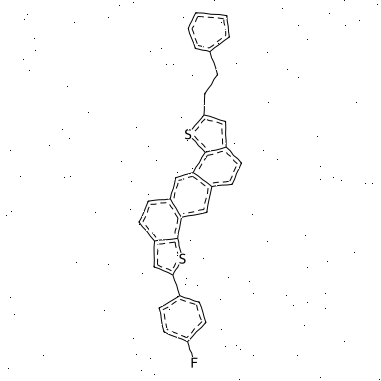 Fc1ccc(-c2cc3ccc4cc5c(ccc6cc(CCc7ccccc7)sc65)cc4c3s2)cc1